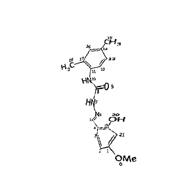 COc1ccc(C=NNC(=O)Nc2ccc(C)cc2C)c(O)c1